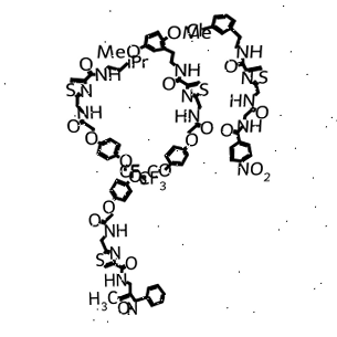 CC(C)CCNC(=O)c1csc(CNC(=O)COc2ccc(OC(F)(F)F)cc2)n1.COc1ccc(OC)c(CCNC(=O)c2csc(CNC(=O)COc3ccc(OC(F)(F)F)cc3)n2)c1.Cc1onc(-c2ccccc2)c1CNC(=O)c1csc(CNC(=O)COc2ccc(OC(F)(F)F)cc2)n1.O=C(CNC(=O)c1ccc([N+](=O)[O-])cc1)NCc1nc(C(=O)NCCc2cccc(Cl)c2)cs1